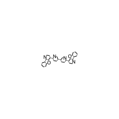 c1ccc2c(c1)oc1c(-c3ccc(-c4ccc(-c5ccnc6c5oc5ccccc56)nc4)cn3)ccnc12